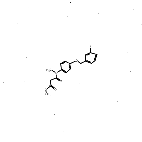 COC(=O)CC(=O)N(C)c1ccc(OCc2cccc(F)c2)cc1